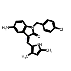 Cc1cc(C)c(/C=C2\C(=O)N(Cc3ccc(Cl)cc3)c3ccc(N)cc32)[nH]1